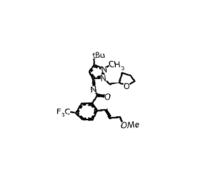 COCC=Cc1ccc(C(F)(F)F)cc1C(=O)N=c1cc(C(C)(C)C)n(C)n1C[C@H]1CCCO1